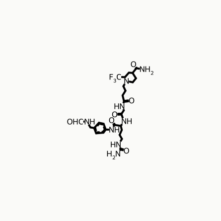 NC(=O)NCCCC(NC(=O)CNC(=O)CCCN1CCC(C(N)=O)CC1C(F)(F)F)C(=O)Nc1ccc(CNC=O)cc1